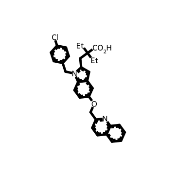 CCC(CC)(Cc1cc2cc(OCc3ccc4ccccc4n3)ccc2n1Cc1ccc(Cl)cc1)C(=O)O